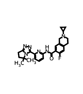 CC1(C)CCc2nnc(-c3cccc(NC(=O)c4cc5c(cc4F)CCN(C4CC4)C5)n3)n21